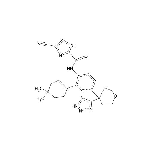 CC1(C)CC=C(c2cc(C3(c4nn[nH]n4)CCOCC3)ccc2NC(=O)c2nc(C#N)c[nH]2)CC1